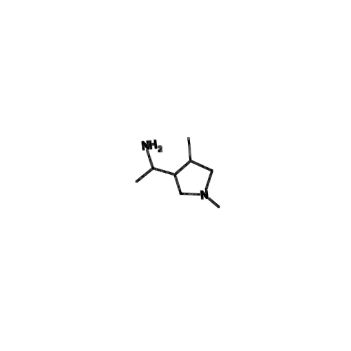 CC(N)C1CN(C)CC1C